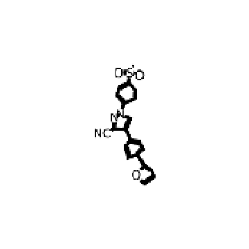 CS(=O)(=O)c1ccc(-n2cc(-c3ccc(-c4ccco4)cc3)c(C#N)n2)cc1